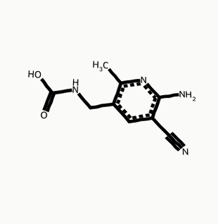 Cc1nc(N)c(C#N)cc1CNC(=O)O